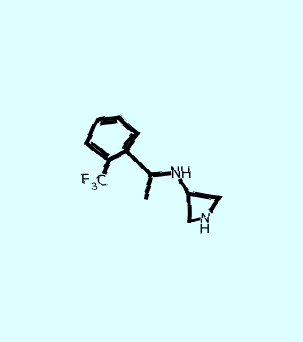 CC(NC1CNC1)c1ccccc1C(F)(F)F